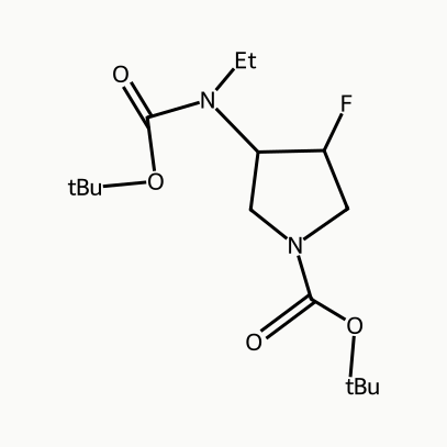 CCN(C(=O)OC(C)(C)C)C1CN(C(=O)OC(C)(C)C)CC1F